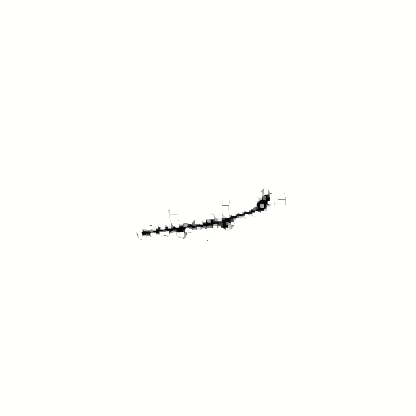 O=[C]COCCOCCNC(=O)COCCOCCNC(=O)CC[C@H](NC(=O)CCCCCCCOc1ccc(C(=O)O)cc1)C(=O)O